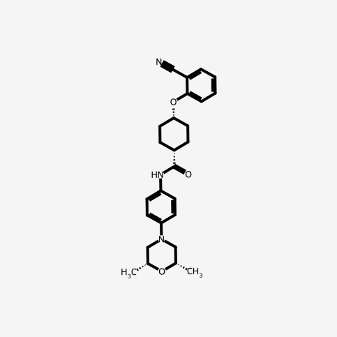 C[C@@H]1CN(c2ccc(NC(=O)[C@H]3CC[C@@H](Oc4ccccc4C#N)CC3)cc2)C[C@H](C)O1